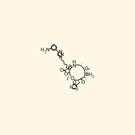 B[C@@H]1[C@@H](C)C(=O)[C@@H](Cc2cncs2)C(=O)O[C@H](CC)[C@@]2(C)OC(=O)N(CCCCn3cc(-c4cccc(N)c4)nn3)[C@@H]2[C@@H](C)NC[C@H](C)C[C@@]1(C)OC